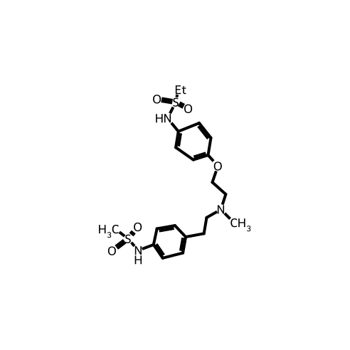 CCS(=O)(=O)Nc1ccc(OCCN(C)CCc2ccc(NS(C)(=O)=O)cc2)cc1